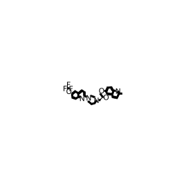 Cc1ccc2c3c(ccc2n1)OC[C@H](CN1CCCN(c2ccc4cc(OC(F)(F)F)ccc4n2)CC1)O3